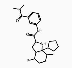 CC1CCC(F)C2CC(C(=O)Nc3cccc(C(=O)N(C)C)c3)NC12C1CCCC1